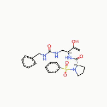 C=C(O)[C@H](CNC(=O)NCc1ccccc1)NC(=O)[C@@H]1CCCN1S(=O)(=O)c1ccccc1